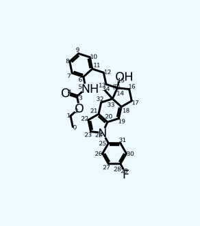 CCOC(=O)Nc1ccccc1CC[C@]1(O)CCC2=Cc3c(ccn3-c3ccc(F)cc3)CC21C